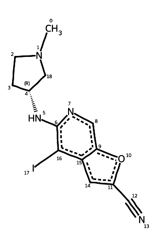 CN1CC[C@@H](Nc2ncc3oc(C#N)cc3c2I)C1